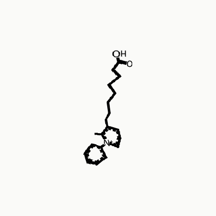 Cc1c(CCCCCCCC(=O)O)ccc[n+]1-c1ccccc1